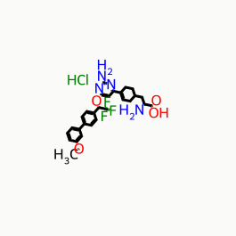 COc1cccc(-c2ccc(C(Oc3cc(C4=CCC(CC(N)C(=O)O)CC4)nc(N)n3)C(F)(F)F)cc2)c1.Cl